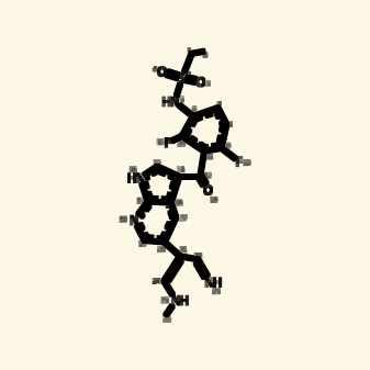 CCS(=O)(=O)Nc1ccc(F)c(C(=O)c2c[nH]c3ncc(/C(C=N)=C/NC)cc23)c1F